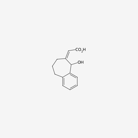 O=C(O)C=C1CCCc2ccccc2C1O